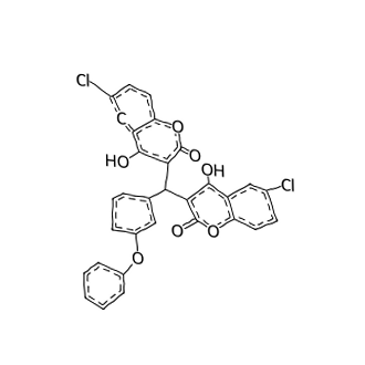 O=c1oc2ccc(Cl)cc2c(O)c1C(c1cccc(Oc2ccccc2)c1)c1c(O)c2cc(Cl)ccc2oc1=O